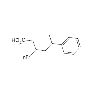 [CH2]C(CC(CCC)CC(=O)O)c1ccccc1